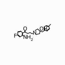 Cc1ccc(CC2(O)CCN(CCCC(=O)c3ccc(F)cc3N)CC2)cc1